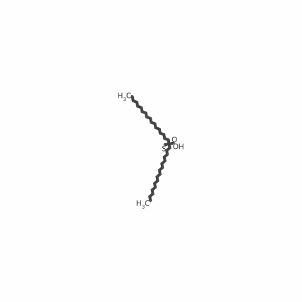 CCCCCCCCCCCCCCCCCCC(C=S)(CCCCCCCCCCCCCCCCCC)C(=O)O